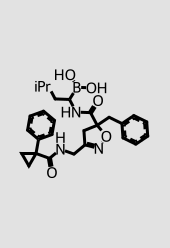 CC(C)CC(NC(=O)C1(Cc2ccccc2)CC(CNC(=O)C2(c3ccccc3)CC2)=NO1)B(O)O